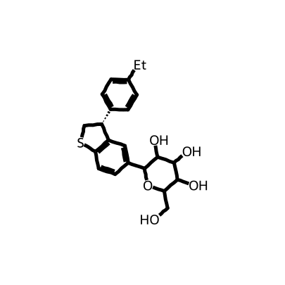 CCc1ccc([C@H]2CSc3ccc(C4OC(CO)C(O)C(O)C4O)cc32)cc1